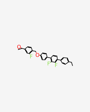 CCc1ccc(-c2ccc(-c3ccc(OCc4ccc(C5CO5)cc4F)cc3)c(F)c2F)cc1